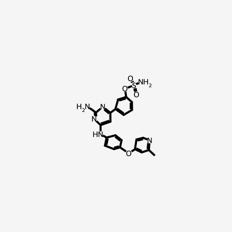 Cc1cc(Oc2ccc(Nc3cc(-c4cccc(OS(N)(=O)=O)c4)nc(N)n3)cc2)ccn1